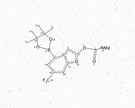 CNC(=O)Oc1cc2c(B3OC(C)(C)C(C)(C)O3)cc(C(F)(F)F)cc2o1